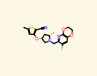 Cc1cc(O[C@@H]2C[C@H](C)N(Cc3nc4c(cc3F)OCCO4)C2)c(C#N)s1